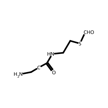 NCCC(=O)NCCSC=O